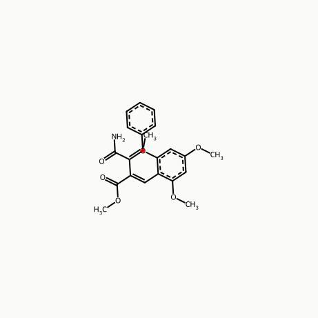 COC(=O)C(=C/c1c(OC)cc(OC)cc1OC)/C(=C/c1ccccc1)C(N)=O